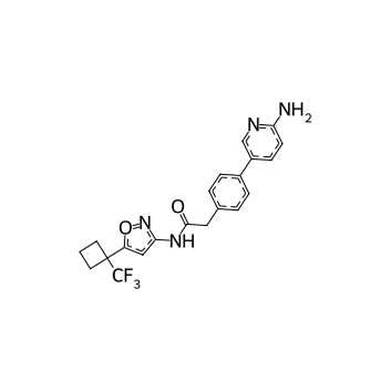 Nc1ccc(-c2ccc(CC(=O)Nc3cc(C4(C(F)(F)F)CCC4)on3)cc2)cn1